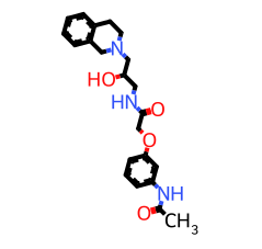 CC(=O)Nc1cccc(OCC(=O)NCC(O)CN2CCc3ccccc3C2)c1